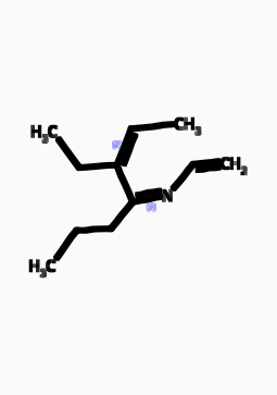 C=C/N=C(CCC)\C(=C/C)CC